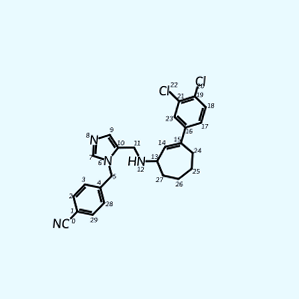 N#Cc1ccc(Cn2cncc2CNC2C=C(c3ccc(Cl)c(Cl)c3)CCCC2)cc1